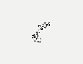 O=C(NCCSc1nc2c(c(=O)[nH]1)CCCC2)c1ccc(C(F)F)cc1